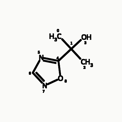 CC(C)(O)c1ncno1